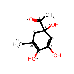 CC(=O)C1(O)C=C(O)C(O)=C(C)C1